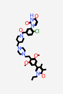 CCCn1cc(-c2cc(OC)c(CCN3CCN(CC4CCN(C(=O)c5ccc(Cl)c(-n6ccc(=O)[nH]c6=O)c5)CC4)CC3)c(OC)c2)c(C)c(C)c1=O